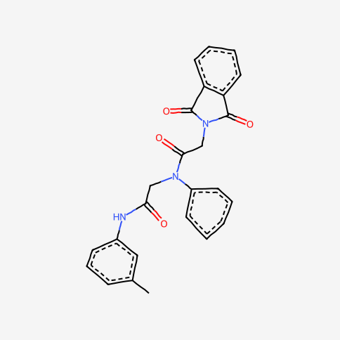 Cc1cccc(NC(=O)CN(C(=O)CN2C(=O)c3ccccc3C2=O)c2ccccc2)c1